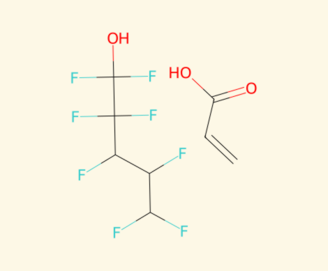 C=CC(=O)O.OC(F)(F)C(F)(F)C(F)C(F)C(F)F